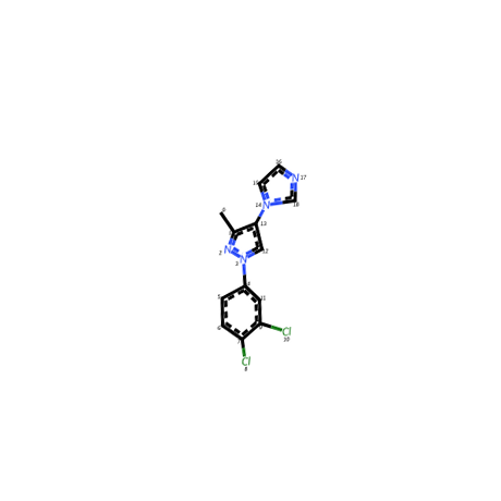 Cc1nn(-c2ccc(Cl)c(Cl)c2)cc1-n1ccnc1